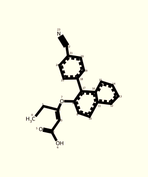 CCC(=CC(=O)O)Oc1ccc2ccccc2c1-c1ccc(C#N)cc1